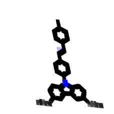 CCCCCCc1ccc2c(c1)c1cc(CCCCCC)ccc1n2-c1ccc(/C=C/c2ccc(C)cc2)cc1